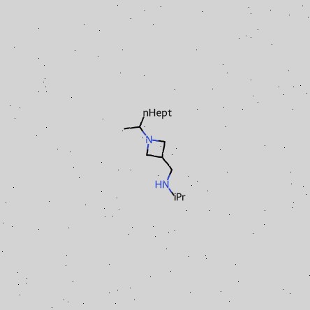 CCCCCCCC(C)N1CC(CNC(C)C)C1